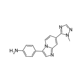 Cn1ncnc1-c1ccn2c(-c3ccc(N)cc3)cnc2c1